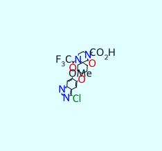 COc1cc2ncnc(Cl)c2cc1O[C@H]1CC[C@]2(CC1)C(=O)N(C(=O)O)CCN2C(=O)C(F)(F)F